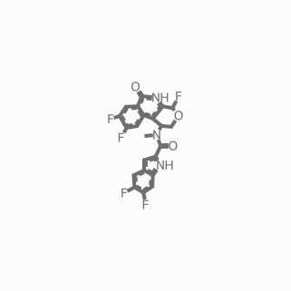 CN(C(=O)c1cc2cc(F)c(F)cc2[nH]1)C1COC(F)c2[nH]c(=O)c3cc(F)c(F)cc3c21